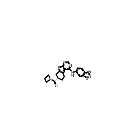 O=C([C@H]1CCc2c(sc3ncnc(Nc4ccc5nnsc5c4)c23)C1)N1CCC1